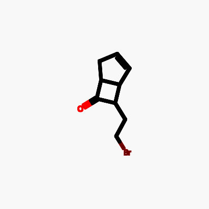 O=C1C2CC=CC2C1CCBr